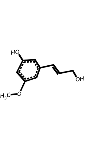 COc1cc(O)cc(C=CCO)c1